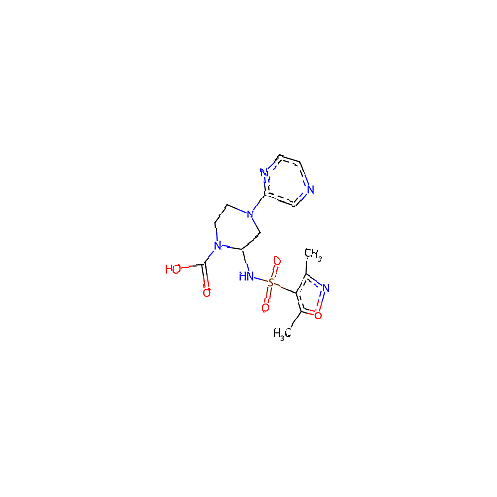 Cc1noc(C)c1S(=O)(=O)NC1CN(c2cnccn2)CCN1C(=O)O